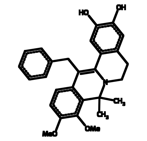 COc1ccc2c(c1OC)C(C)(C)N1CCc3cc(O)c(O)cc3C1=C2Cc1ccccc1